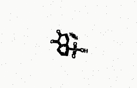 N#N.O=C1C=Cc2c(cccc2S(=O)(=O)O)C1=O